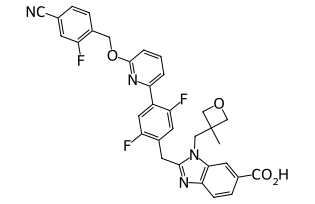 CC1(Cn2c(Cc3cc(F)c(-c4cccc(OCc5ccc(C#N)cc5F)n4)cc3F)nc3ccc(C(=O)O)cc32)COC1